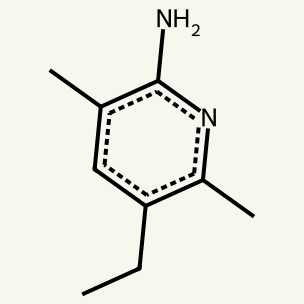 CCc1cc(C)c(N)nc1C